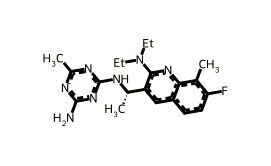 CCN(CC)c1nc2c(C)c(F)ccc2cc1[C@H](C)Nc1nc(C)nc(N)n1